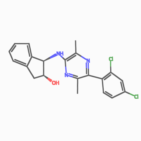 Cc1nc(-c2ccc(Cl)cc2Cl)c(C)nc1N[C@@H]1c2ccccc2C[C@@H]1O